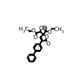 CCOC(=O)C(O)C1(C(=O)OCC)C=C(c2ccc(-c3ccccc3)cc2)C(=O)O1